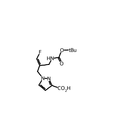 CC(C)(C)OC(=O)NC/C(=C\F)Cn1ccc(C(=O)O)n1